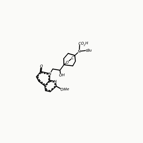 COc1ccc2ccc(=O)n(CC(O)C34CCC(N(C(=O)O)C(C)(C)C)(CC3)CO4)c2n1